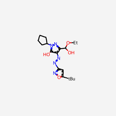 CCOC(O)c1nn(C2CCCC2)c(O)c1/N=N/c1cc(C(C)(C)C)on1